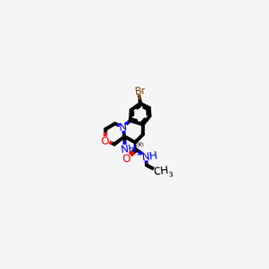 CCNC(=O)[C@@H]1Cc2ccc(Br)cc2N2CCOCC12N